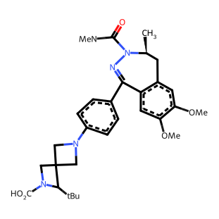 CNC(=O)N1N=C(c2ccc(N3CC4(C3)CN(C(=O)O)C4C(C)(C)C)cc2)c2cc(OC)c(OC)cc2C[C@@H]1C